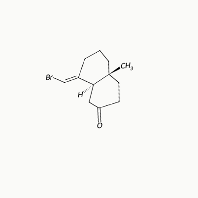 C[C@]12CCC/C(=C\Br)[C@@H]1CC(=O)CC2